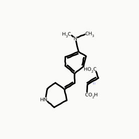 CN(C)c1ccc(C=C2CCNCC2)cc1.O=C(O)/C=C/C(=O)O